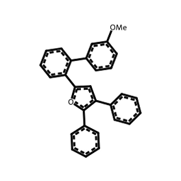 COc1cccc(-c2ccccc2-c2cc(-c3ccccc3)c(-c3ccccc3)o2)c1